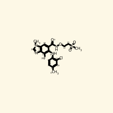 Cc1ccc(Nc2c(C(=O)NOCCS(C)(=O)=O)cc3c(ncn3C)c2F)c(Cl)c1